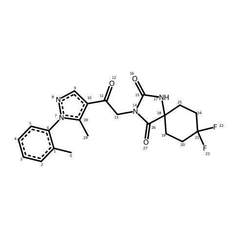 Cc1ccccc1-n1ncc(C(=O)CN2C(=O)NC3(CCC(F)(F)CC3)C2=O)c1C